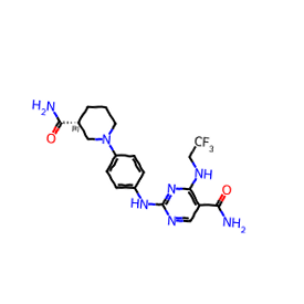 NC(=O)c1cnc(Nc2ccc(N3CCC[C@@H](C(N)=O)C3)cc2)nc1NCC(F)(F)F